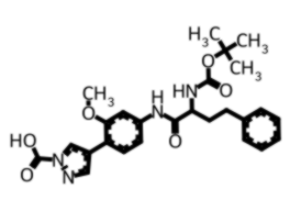 COc1cc(NC(=O)C(CCc2ccccc2)NC(=O)OC(C)(C)C)ccc1-c1cnn(C(=O)O)c1